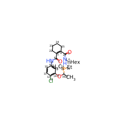 CCCCCCNC(=O)C1=C(C(=O)Nc2ccc(Cl)c(OC(C)P(C)CC)c2)CCCC1